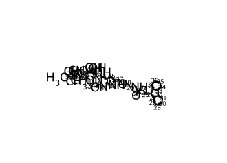 CC(C)(C)[Si](C)(C)OC[C@H]1O[C@H](n2cc3cc(COCCNC(=O)OCC4c5ccccc5-c5ccccc54)[nH]c3nc2=O)C(O)(O)C1(O)O